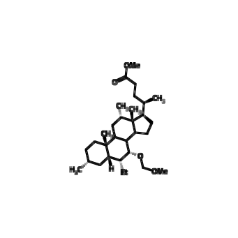 CC[C@H]1[C@@H](OCOC)C2C3CC[C@H]([C@H](C)CCC(=O)OC)[C@@]3(C)[C@@H](C)CC2[C@@]2(C)CC[C@@H](C)C[C@@H]12